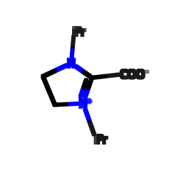 CC(C)N1CC[N+](C(C)C)=C1C(=O)[O-]